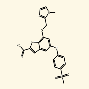 Cn1ccnc1COc1cc(Oc2ccc(S(C)(=O)=O)cc2)cc2cc(C(=O)O)[nH]c12